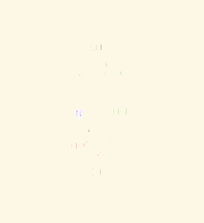 CCOc1ccc2c(Cc3cc(Cl)c(OCC)c(Cl)c3)cncc2c1O.Cl